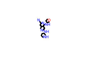 N#Cc1cc2cnc(N[C@H]3CCCNC3)cc2c(N[C@H]2CCOC2)n1